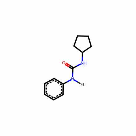 [CH2]CN(C(=O)NC1CCCC1)c1ccccc1